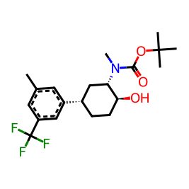 Cc1cc([C@H]2CC[C@H](O)[C@@H](N(C)C(=O)OC(C)(C)C)C2)cc(C(F)(F)F)c1